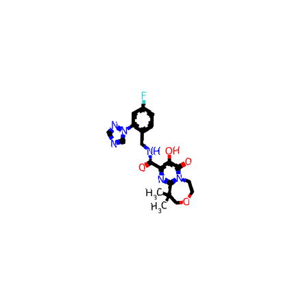 CC1(C)COCCn2c1nc(C(=O)NCc1ccc(F)cc1-n1cncn1)c(O)c2=O